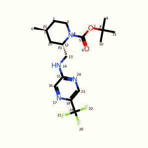 C[C@H]1CCN(C(=O)OC(C)(C)C)[C@H](CNc2cnc(C(F)(F)F)cn2)C1